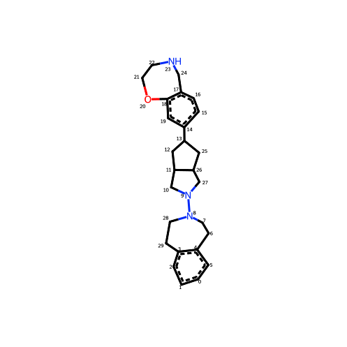 c1ccc2c(c1)CCN(N1CC3CC(c4ccc5c(c4)OCCNC5)CC3C1)CC2